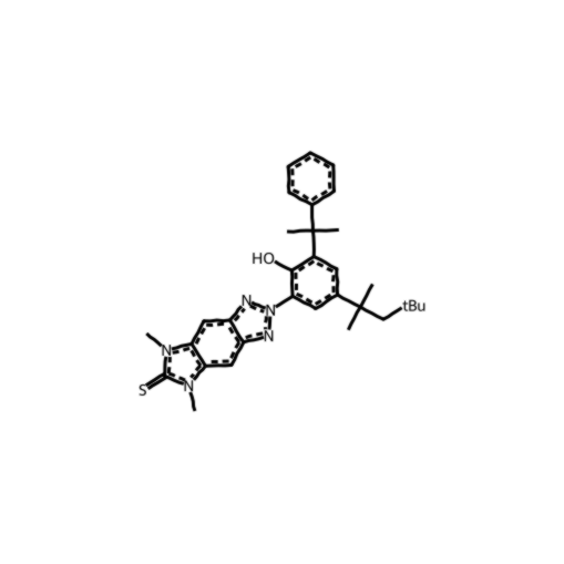 Cn1c(=S)n(C)c2cc3nn(-c4cc(C(C)(C)CC(C)(C)C)cc(C(C)(C)c5ccccc5)c4O)nc3cc21